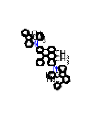 CC1(C)c2ccccc2-c2cccc(N(c3ccccc3)c3ccc4c(-c5ccccc5)c5c6c(cccc6c4c3)C(C)(C)c3cc(N(c4ccccc4)c4cccc6c4C(C)(C)c4c(-c7ccccc7)cccc4-6)ccc3-5)c21